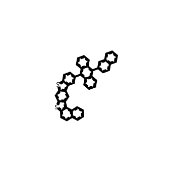 c1ccc2cc(-c3c4ccccc4c(-c4ccc5sc6cc7sc8ccc9ccccc9c8c7cc6c5c4)c4ccccc34)ccc2c1